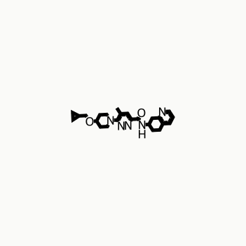 Cc1cc(C(=O)NC2CCc3cccnc3C2)nnc1N1CCC(OCC2CC2)CC1